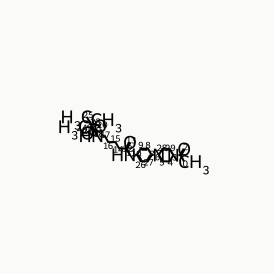 CC(=O)N1CCN(c2ccc(NC(=O)CCCCNS(=O)(=O)C(C)(C)C)cc2)CC1